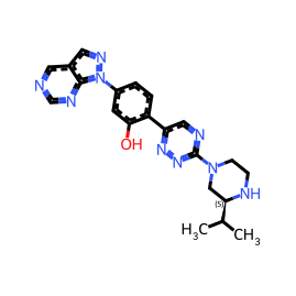 CC(C)[C@H]1CN(c2ncc(-c3ccc(-n4ncc5cncnc54)cc3O)nn2)CCN1